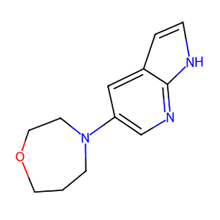 c1cc2cc(N3CCCOCC3)cnc2[nH]1